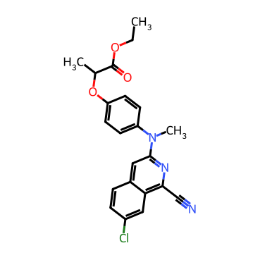 CCOC(=O)C(C)Oc1ccc(N(C)c2cc3ccc(Cl)cc3c(C#N)n2)cc1